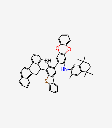 Cc1cc2c(cc1Nc1cc3c(cc1-c1cc4c(sc5ccccc54)c4c1Bc1cccc5c1C4Cc1c-5ccc4ccccc14)Oc1ccccc1O3)C(C)(C)CCC2(C)C